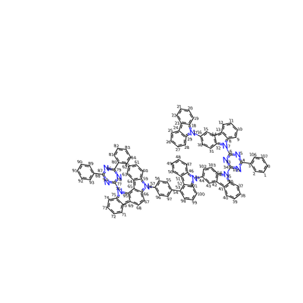 c1ccc(-c2nc(-n3c4ccccc4c4cc(-n5c6ccccc6c6ccccc65)ccc43)nc(-n3c4ccccc4c4cc(-n5c6ccccc6c6c(-c7ccc(-n8c9ccccc9c9c8ccc8c%10ccccc%10n(-c%10nc(-c%11ccccc%11)nc(-c%11ccccc%11)n%10)c89)cc7)cccc65)ccc43)n2)cc1